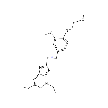 CCN1C=C2N=C(/C=C/c3ccc(OCCOC)c(OC)c3)N=C2N(CC)C1